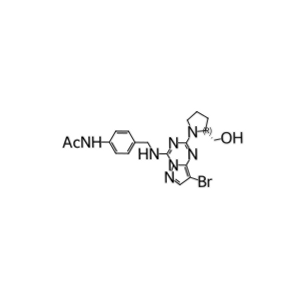 CC(=O)Nc1ccc(CNc2nc(N3CCC[C@@H]3CO)nc3c(Br)cnn23)cc1